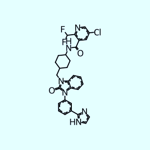 O=C(NC1CCC(Cn2c(=O)n(-c3cccc(-c4ncc[nH]4)c3)c3ccccc32)CC1)c1cc(Cl)cnc1C(F)F